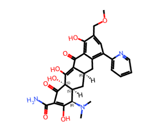 COCc1cc(-c2ccccn2)c2c(c1O)C(=O)C1=C(O)[C@]3(O)C(=O)C(C(N)=O)=C(O)[C@H](N(C)C)[C@@H]3C[C@@H]1C2